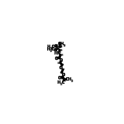 C=C(C)C(=O)OCCOCCOC(=O)CNC[Si](OC)(OC)OC